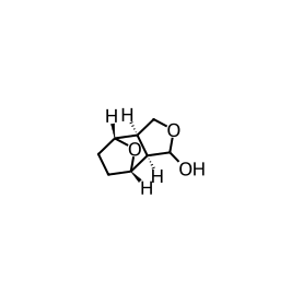 OC1OC[C@H]2[C@@H]1[C@@H]1CC[C@H]2O1